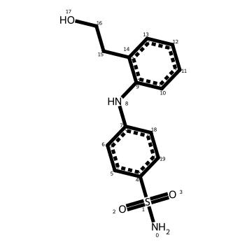 NS(=O)(=O)c1ccc(Nc2ccccc2CCO)cc1